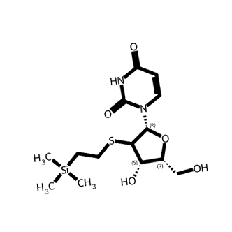 C[Si](C)(C)CCSC1[C@@H](O)[C@@H](CO)O[C@H]1n1ccc(=O)[nH]c1=O